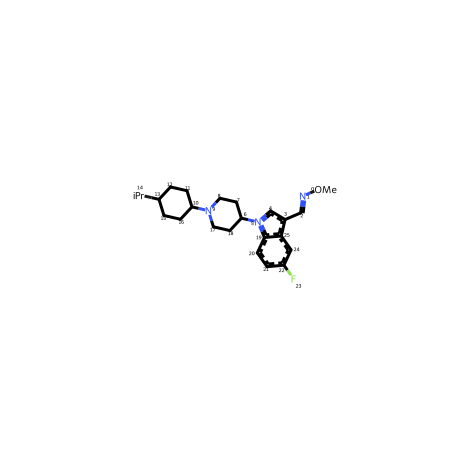 CON=Cc1cn(C2CCN(C3CCC(C(C)C)CC3)CC2)c2ccc(F)cc12